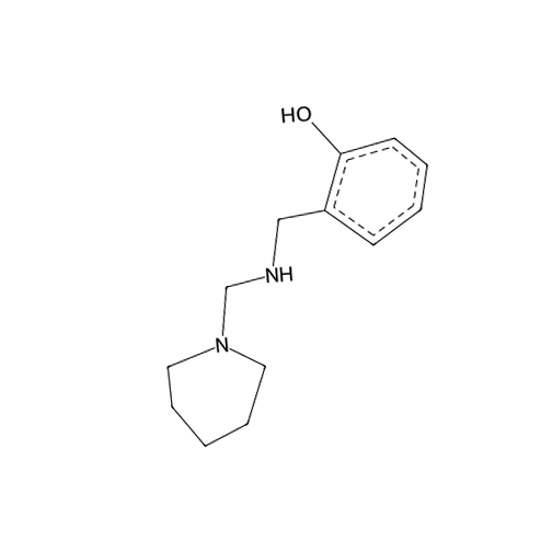 Oc1ccccc1CNCN1CCCCC1